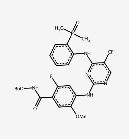 COc1cc(C(=O)NOCC(C)C)c(F)cc1Nc1ncc(C(F)(F)F)c(Nc2ccccc2P(C)(C)=O)n1